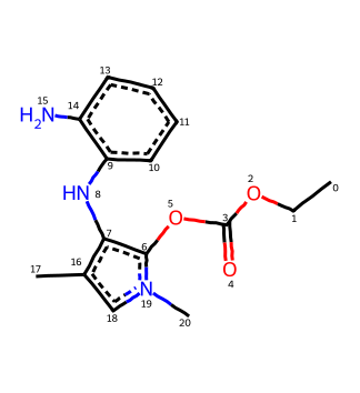 CCOC(=O)Oc1c(Nc2ccccc2N)c(C)cn1C